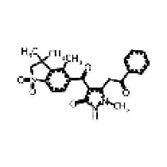 Cc1c(C(=O)c2c(CC(=O)c3ccccc3)n(C)[nH]c2=O)ccc2c1C(C)(C)CS2(=O)=O